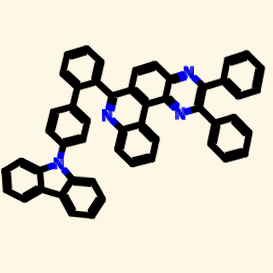 c1ccc(-c2nc3ccc4c(-c5ccccc5-c5ccc(-n6c7ccccc7c7ccccc76)cc5)nc5ccccc5c4c3nc2-c2ccccc2)cc1